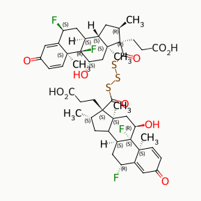 C[C@@H]1C[C@H]2[C@@H]3C[C@H](F)C4=CC(=O)C=C[C@]4(C)[C@@]3(F)[C@@H](O)C[C@]2(C)[C@]1(CCC(=O)O)C(=O)SSSC(=O)[C@@]1(CCC(=O)O)[C@@H](C)CC2[C@@H]3C[C@@H](F)C4=CC(=O)C=C[C@]4(C)[C@]3(F)[C@H](O)C[C@@]21C